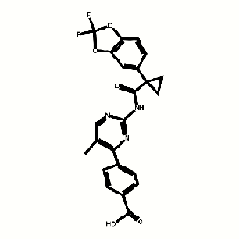 Cc1cnc(NC(=O)C2(c3ccc4c(c3)OC(F)(F)O4)CC2)nc1-c1ccc(C(=O)O)cc1